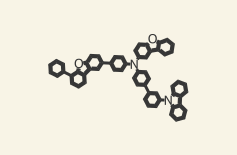 c1ccc(-c2cccc3c2oc2ccc(-c4ccc(N(c5ccc(-c6cccc(-n7c8ccccc8c8ccccc87)c6)cc5)c5ccc6oc7ccccc7c6c5)cc4)cc23)cc1